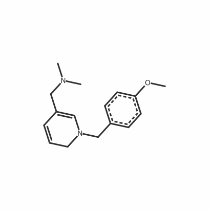 COc1ccc(CN2C=C(CN(C)C)C=CC2)cc1